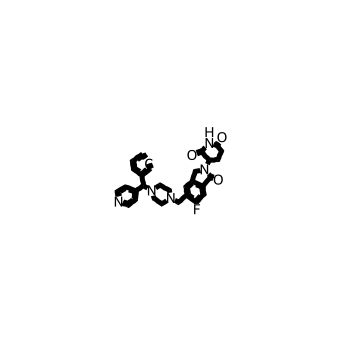 O=C1CCC(N2Cc3cc(CN4CCN(C(c5ccccc5)c5ccncc5)CC4)c(F)cc3C2=O)C(=O)N1